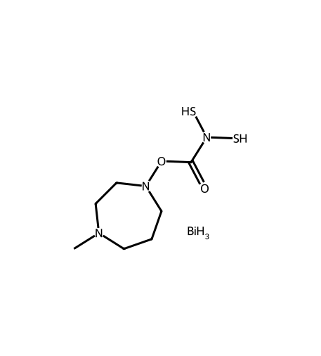 CN1CCCN(OC(=O)N(S)S)CC1.[BiH3]